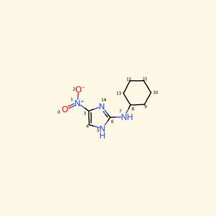 O=[N+]([O-])c1c[nH]c(NC2CCCCC2)n1